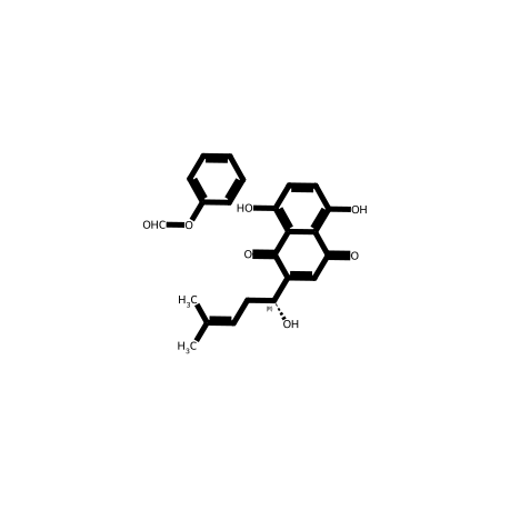 CC(C)=CC[C@@H](O)C1=CC(=O)c2c(O)ccc(O)c2C1=O.O=COc1ccccc1